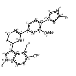 COc1nc(C2=NOCC(c3cn(C)c4ccc(Cl)c(F)c34)N2)ccc1-n1cnc(C)c1